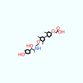 Cc1cc(OCC(=O)O)ccc1-c1cc(C)c(OCCN[C@@H](C)[C@H](O)c2ccc(O)cc2)c(C)c1